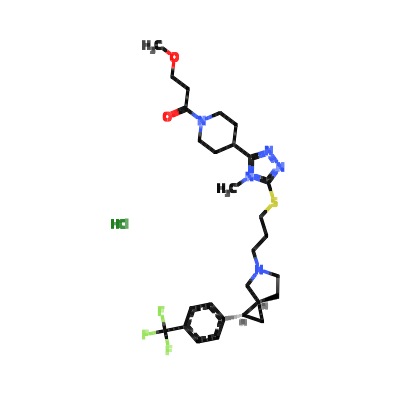 COCCC(=O)N1CCC(c2nnc(SCCCN3CC[C@]4(C[C@@H]4c4ccc(C(F)(F)F)cc4)C3)n2C)CC1.Cl